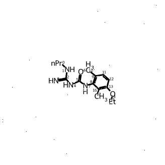 CCCNC(=N)NC(=O)Nc1c(C)ccc(OCC)c1C